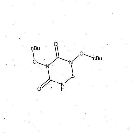 CCCCON1SNC(=O)N(OCCCC)C1=O